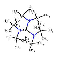 C[Si](C)(C)[N]([Co]([N]([Si](C)(C)C)[Si](C)(C)C)[N]([Si](C)(C)C)[Si](C)(C)C)[Si](C)(C)C